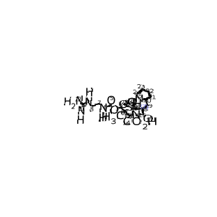 C[C@]1(COC(=O)NCCNC(=N)N)[C@H](C(=O)O)N2C(=O)/C(=C/c3ccccn3)[C@H]2S1(=O)=O